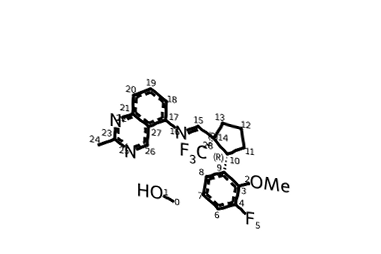 CO.COc1c(F)cccc1[C@H]1CCC[C@@]1(C=Nc1cccc2nc(C)ncc12)C(F)(F)F